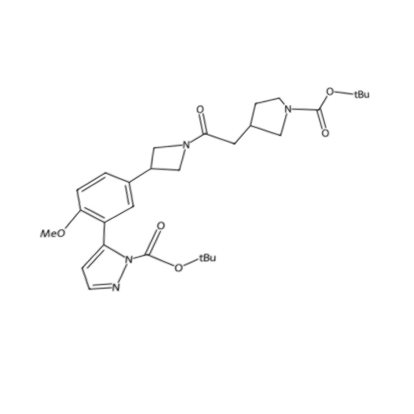 COc1ccc(C2CN(C(=O)CC3CCN(C(=O)OC(C)(C)C)C3)C2)cc1-c1ccnn1C(=O)OC(C)(C)C